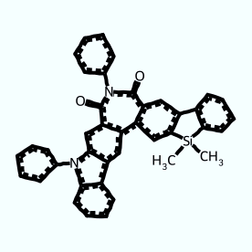 C[Si]1(C)c2ccccc2-c2cc3c(=O)n(-c4ccccc4)c(=O)c4cc5c(cc4c3cc21)c1ccccc1n5-c1ccccc1